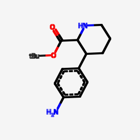 CC(C)(C)OC(=O)C1NCCCC1c1ccc(N)cc1